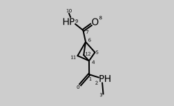 C=C(PC)C12CC(C(=O)PC)(C1)C2